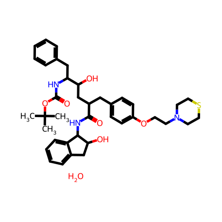 CC(C)(C)OC(=O)NC(Cc1ccccc1)C(O)CC(Cc1ccc(OCCN2CCSCC2)cc1)C(=O)NC1c2ccccc2CC1O.O